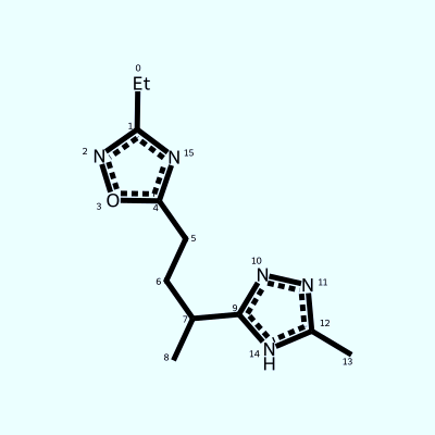 CCc1noc(CCC(C)c2nnc(C)[nH]2)n1